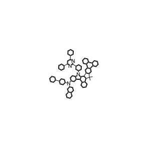 CC1(C)c2cc3c4ccccc4c4ccccc4c3cc2-c2c1c1ccccc1c1c3cc(N(c4ccc(-c5ccccc5)cc4)c4ccc5ccccc5c4)ccc3n(-c3cccc(-c4nc(-c5ccccc5)cc(-c5ccccc5)n4)c3)c21